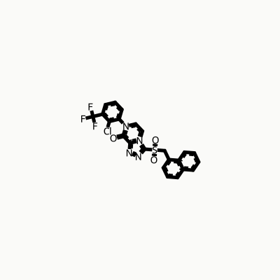 O=c1c2nnc(S(=O)(=O)Cc3cccc4ccccc34)n2ccn1-c1cccc(C(F)(F)F)c1Cl